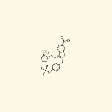 CN1CCCC1CCn1c(Cc2ccc(OC(F)(F)F)cc2)cc2cc([N+](=O)[O-])ccc21